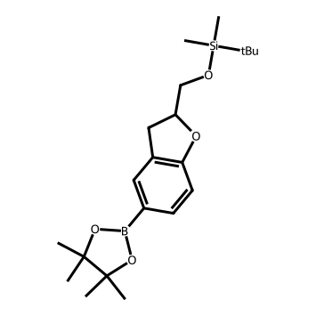 CC1(C)OB(c2ccc3c(c2)CC(CO[Si](C)(C)C(C)(C)C)O3)OC1(C)C